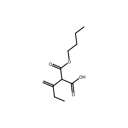 C=C(CC)C(C(=O)O)C(=O)OCCCC